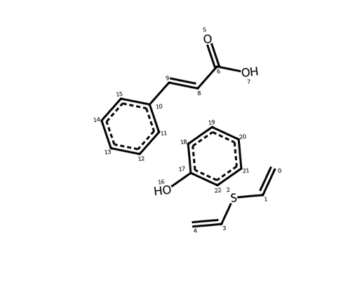 C=CSC=C.O=C(O)C=Cc1ccccc1.Oc1ccccc1